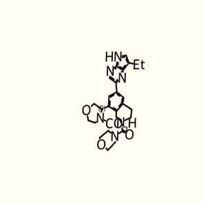 CCc1c[nH]c2ncc(-c3cc4c(c([C@@H]5COCCN5C(=O)O)c3)CN(C(=O)N3CCOCC3)CC4)nc12